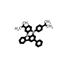 CC(C)c1ccc(N2c3ccc(C(C)C)cc3B3c4ccccc4-c4cc(-c5ccccc5)cc2c43)cc1